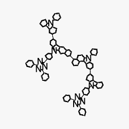 c1ccc(-c2nc(-c3ccccc3)nc(-c3ccc(-n4c5ccccc5c5cc(-c6ccc7c(c6)c6c8cccc(-c9ccc%10cc%11c%12cc(-c%13ccc%14c(c%13)c%13ccccc%13n%14-c%13ccccc%13)ccc%12n(-c%12ccc(-c%13nc(-c%14ccccc%14)nc(-c%14ccccc%14)n%13)cc%12)c%11cc%10c9)c8ccc6n7-c6ccccc6)ccc54)cc3)n2)cc1